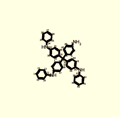 Nc1ccc(C(c2ccc(Nc3ccccc3)cc2)(c2ccc(Nc3ccccc3)cc2)c2ccc(Nc3ccccc3)cc2)cc1